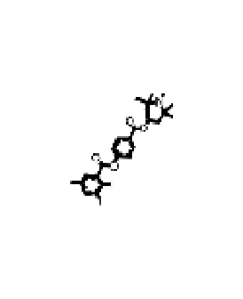 CN1C(C)(C)CC(OC(=O)c2ccc(OC(=O)c3cc(I)cc(I)c3I)cc2)CC1(C)C